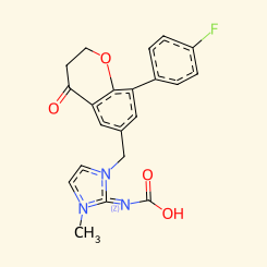 Cn1ccn(Cc2cc3c(c(-c4ccc(F)cc4)c2)OCCC3=O)/c1=N\C(=O)O